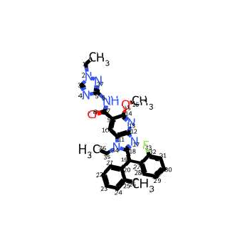 CCn1cnc(NC(=O)c2cc3c(nc2OC)nc(C(c2ccccc2C)c2ccccc2F)n3CC)n1